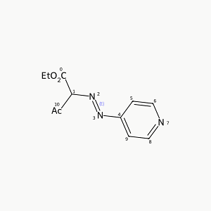 CCOC(=O)C(/N=N/c1ccncc1)C(C)=O